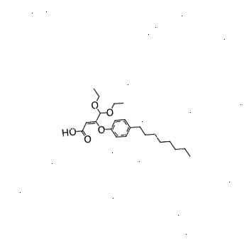 CCCCCCCCc1ccc(O/C(=C\C(=O)O)C(OCC)OCC)cc1